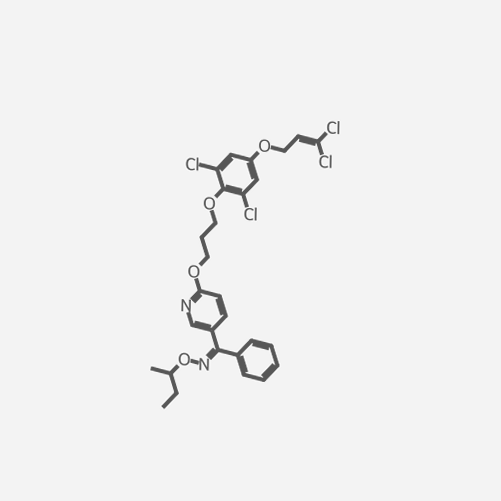 CCC(C)ON=C(c1ccccc1)c1ccc(OCCCOc2c(Cl)cc(OCC=C(Cl)Cl)cc2Cl)nc1